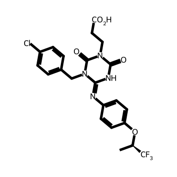 C[C@@H](Oc1ccc(/N=c2\[nH]c(=O)n(CCC(=O)O)c(=O)n2Cc2ccc(Cl)cc2)cc1)C(F)(F)F